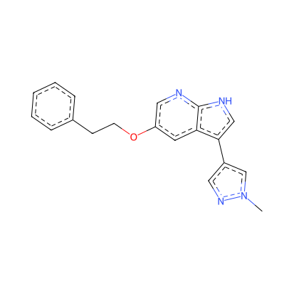 Cn1cc(-c2c[nH]c3ncc(OCCc4ccccc4)cc23)cn1